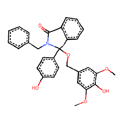 COc1cc(COC2(c3ccc(O)cc3)c3ccccc3C(=O)N2Cc2ccccc2)cc(OC)c1O